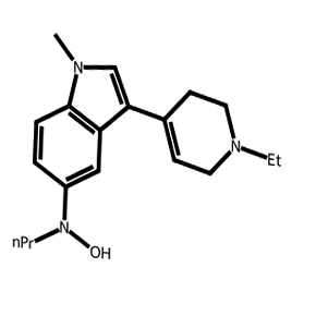 CCCN(O)c1ccc2c(c1)c(C1=CCN(CC)CC1)cn2C